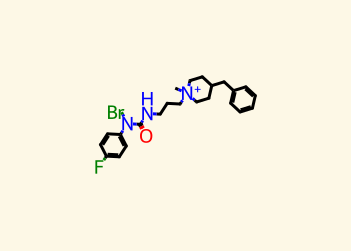 C[N+]1(CCCNC(=O)N(Br)c2ccc(F)cc2)CCC(Cc2ccccc2)CC1